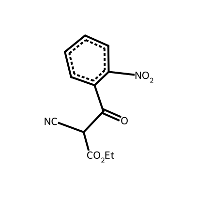 CCOC(=O)C(C#N)C(=O)c1ccccc1[N+](=O)[O-]